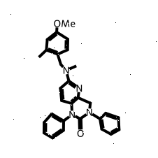 COc1ccc(CN(C)c2ccc3c(n2)CN(c2ccccc2)C(=O)N3c2ccccc2)c(C)c1